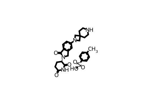 Cc1ccc(S(=O)(=O)O)cc1.O=C1CC[C@H](N2Cc3cc(N4CC5(CCNCC5)C4)ccc3C2=O)C(=O)N1